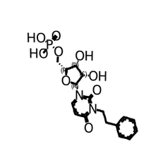 O=c1ccn([C@@H]2O[C@H](COP(=O)(O)O)[C@H](O)[C@@H]2O)c(=O)n1CCc1ccccc1